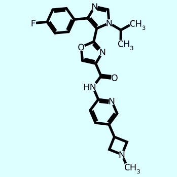 CC(C)n1cnc(-c2ccc(F)cc2)c1-c1nc(C(=O)Nc2ccc(C3CN(C)C3)cn2)co1